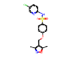 Cc1noc(C)c1COc1ccc(S(=O)(=O)Nc2ccc(Cl)cn2)cc1